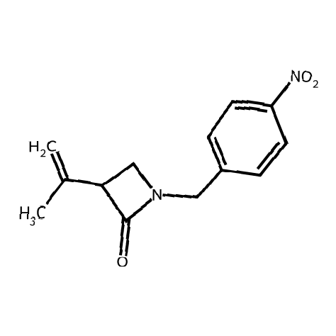 C=C(C)C1CN(Cc2ccc([N+](=O)[O-])cc2)C1=O